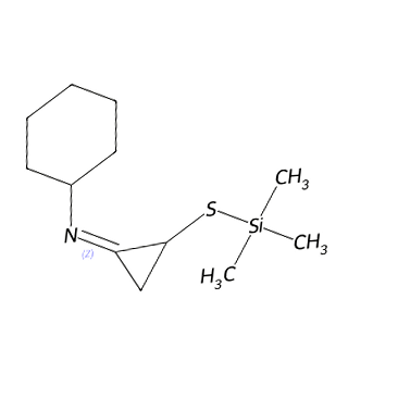 C[Si](C)(C)SC1C/C1=N/C1CCCCC1